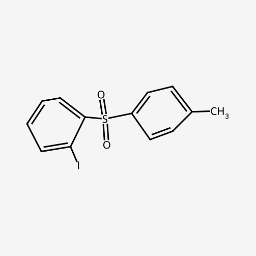 Cc1ccc(S(=O)(=O)c2ccccc2I)cc1